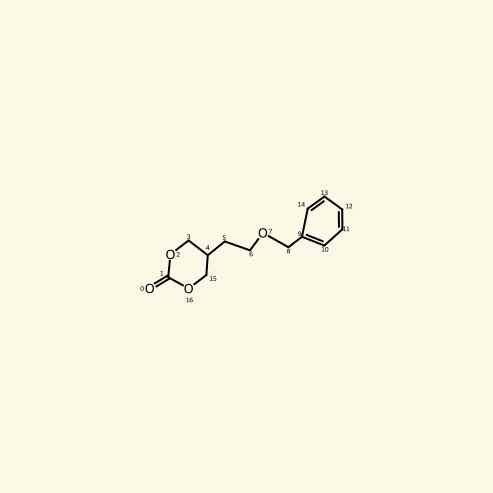 O=C1OCC(CCOCc2ccccc2)CO1